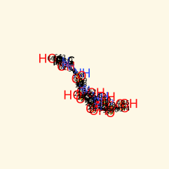 C=CC(=C\CCNS(=O)(=O)c1ccc(/N=N/c2c(S(=O)(=O)O)cc3cc(S(=O)(=O)O)c(/N=N/c4ccc(S(=O)(=O)CCCS(=O)(=O)O)cc4S(=O)(=O)O)c(N)c3c2O)cc1)/N=N/c1ccc(O)cc1O